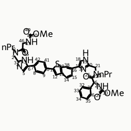 CCCN(Cc1ncc(-c2ccc(-c3cc4ccc(-c5c[nH]c(CN(CCC)C(=O)[C@H](NC(=O)OC)c6ccccc6)n5)cc4s3)cc2)[nH]1)C(=O)CNC(=O)OC